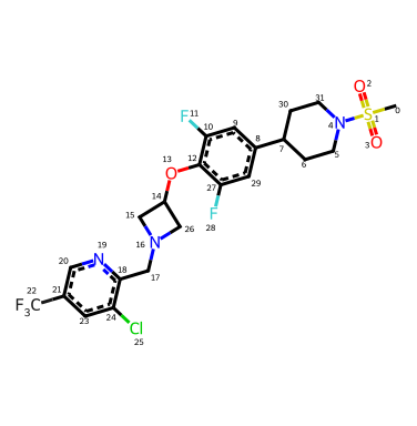 CS(=O)(=O)N1CCC(c2cc(F)c(OC3CN(Cc4ncc(C(F)(F)F)cc4Cl)C3)c(F)c2)CC1